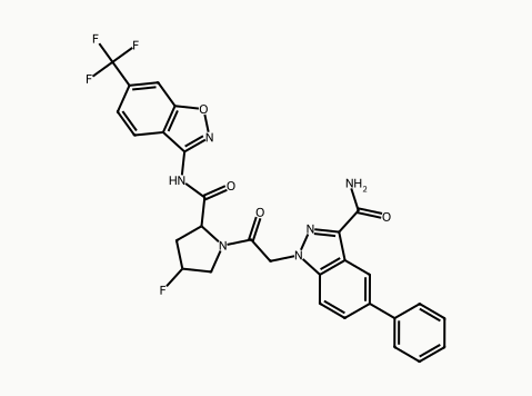 NC(=O)c1nn(CC(=O)N2CC(F)CC2C(=O)Nc2noc3cc(C(F)(F)F)ccc23)c2ccc(-c3ccccc3)cc12